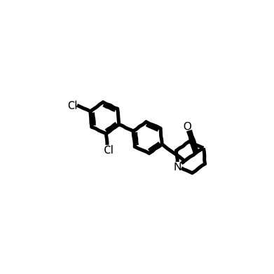 O=C1C2CCN(CC2)C1c1ccc(-c2ccc(Cl)cc2Cl)cc1